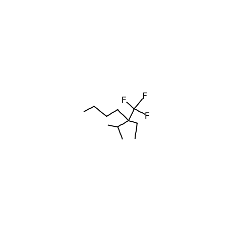 CCCCC(CC)(C(C)C)C(F)(F)F